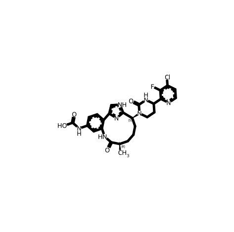 C[C@@H]1CCC[C@H](N2CCC(c3nccc(Cl)c3F)NC2=O)c2nc(c[nH]2)-c2ccc(NC(=O)O)cc2NC1=O